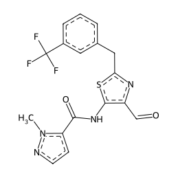 Cn1nccc1C(=O)Nc1sc(Cc2cccc(C(F)(F)F)c2)nc1C=O